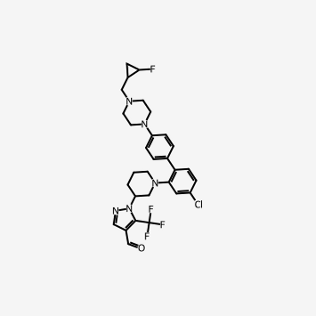 O=Cc1cnn(C2CCCN(c3cc(Cl)ccc3-c3ccc(N4CCN(CC5CC5F)CC4)cc3)C2)c1C(F)(F)F